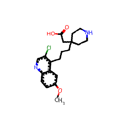 COc1ccc2ncc(Cl)c(CCCC3(CC(=O)O)CCNCC3)c2c1